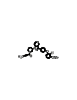 CC#CC(=O)N1CCC[C@@H](n2nc(-c3ccc(Oc4cccc(OC)c4Cl)cc3)c3cnccc32)C1